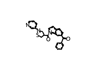 O=C(c1ccccc1)c1ccc2ccn(C(=O)C3CSN(c4cccnc4)C3)c2c1